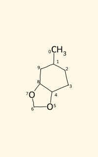 CC1CCC2OCOC2C1